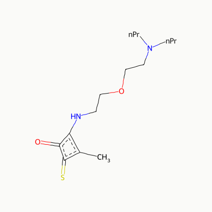 CCCN(CCC)CCOCCNc1c(C)c(=S)c1=O